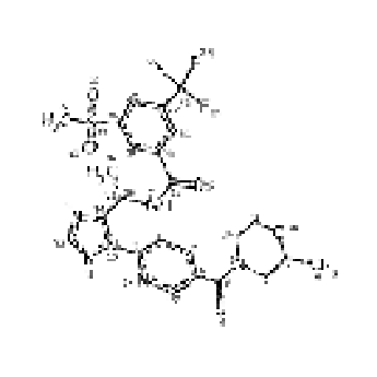 CC1CN(C(=O)c2ccc(-n3ncnc3[C@H](C)NC(=O)c3cc(C(F)(F)F)cc(S(C)(=O)=O)c3)nc2)CCO1